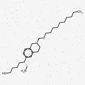 CCCCCCCCCCOC[C@H]1CCc2cc([C@H](CN)CCCCO)ccc2C1